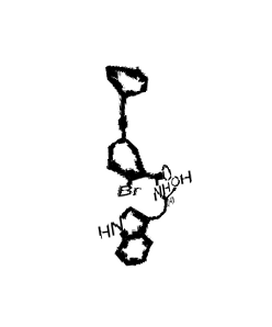 O=C(N[C@@H](CO)Cc1c[nH]c2ccccc12)c1cc(C#Cc2ccccc2)ccc1Br